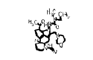 CCN(CC)C(=O)Nn1c(CN2CCOCC2)c2c3c(ccc(C(C)=O)c31)[C@H]1CCCN(C#N)[C@@H]1C2